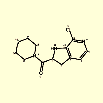 O=C(C1Cc2ccnc(Cl)c2N1)N1CCSCC1